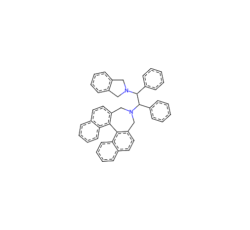 c1ccc(C(C(c2ccccc2)N2Cc3ccc4ccccc4c3-c3c(ccc4ccccc34)C2)N2Cc3ccccc3C2)cc1